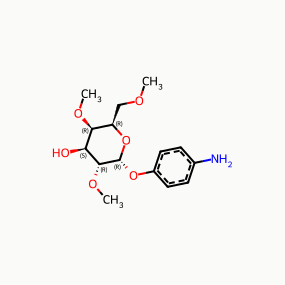 COC[C@H]1O[C@H](Oc2ccc(N)cc2)[C@H](OC)[C@@H](O)[C@H]1OC